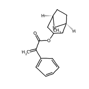 C=C(C(=O)OC1C[C@H]2CC[C@@H](C1)N2C)c1ccccc1